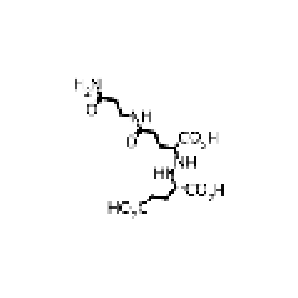 NC(=O)CCNC(=O)CC[C@H](NN[C@@H](CCC(=O)O)C(=O)O)C(=O)O